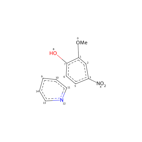 COc1cc([N+](=O)[O-])ccc1O.c1ccncc1